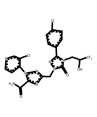 NC(=O)c1nc(Cn2nc(-c3ccc(Cl)cc3)n(CC(O)C(F)(F)F)c2=O)nn1-c1ccncc1Cl